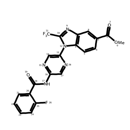 COC(=O)c1ccc2c(c1)nc(C(F)(F)F)n2-c1cnc(NC(=O)c2ccccc2F)cn1